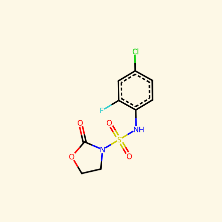 O=C1OCCN1S(=O)(=O)Nc1ccc(Cl)cc1F